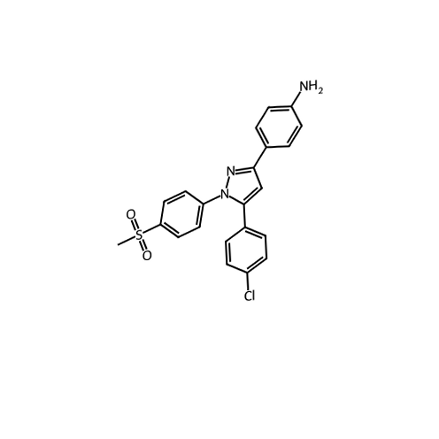 CS(=O)(=O)c1ccc(-n2nc(-c3ccc(N)cc3)cc2-c2ccc(Cl)cc2)cc1